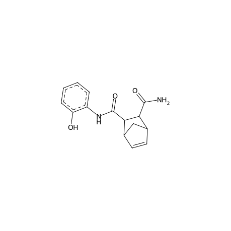 NC(=O)C1C2C=CC(C2)C1C(=O)Nc1ccccc1O